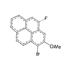 COc1cc2c(F)cc3cccc4ccc(c1Br)c2c43